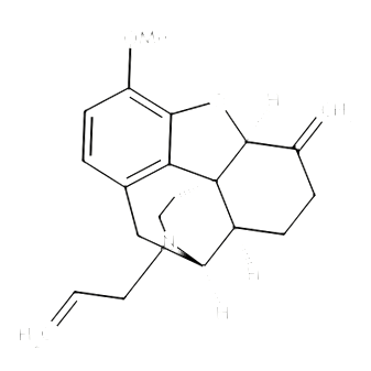 C=CCN1CC[C@]23c4c5ccc(OC)c4O[C@H]2C(=C)CC[C@H]3[C@H]1C5